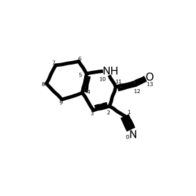 N#CC1=CC2=C(CCCC2)NC1=C=O